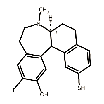 CN1CCc2cc(I)c(O)cc2C2c3cc(S)ccc3CC[C@@H]21